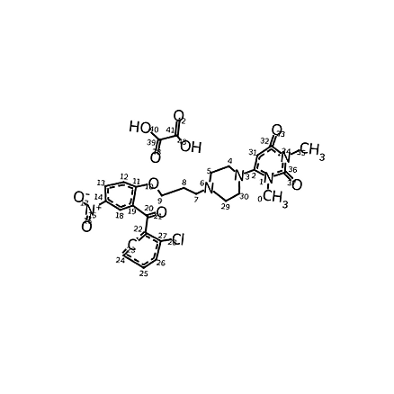 Cn1c(N2CCN(CCCOc3ccc([N+](=O)[O-])cc3C(=O)c3ccccc3Cl)CC2)cc(=O)n(C)c1=O.O=C(O)C(=O)O